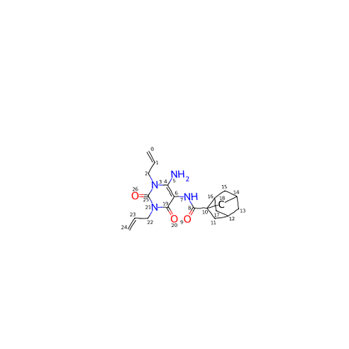 C=CCn1c(N)c(NC(=O)C23CC4CC(CC2C4)C3)c(=O)n(CC=C)c1=O